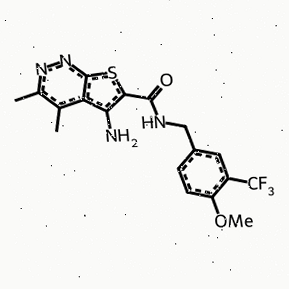 COc1ccc(CNC(=O)c2sc3nnc(C)c(C)c3c2N)cc1C(F)(F)F